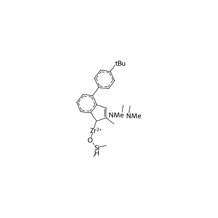 CC1=Cc2c(-c3ccc(C(C)(C)C)cc3)cccc2[CH]1[Zr+2][O][SiH](C)C.C[N-]C.C[N-]C